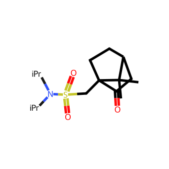 CC(C)N(C(C)C)S(=O)(=O)CC12CCC(CC1=O)C2(C)C